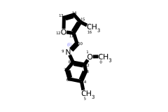 COc1cc(C)ccc1/N=C/c1occc1C